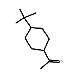 CC(=O)C1CCC(C(C)(C)C)CC1